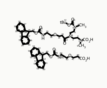 CN(CCN(CCN(C)C(=O)OC(C)(C)C)C(=O)CCOCCNC(=O)OCC1c2ccccc2-c2ccccc21)C(=O)O.O=C(O)CCOCCNC(=O)OCC1c2ccccc2-c2ccccc21